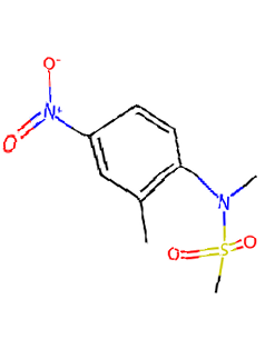 Cc1cc([N+](=O)[O-])ccc1N(C)S(C)(=O)=O